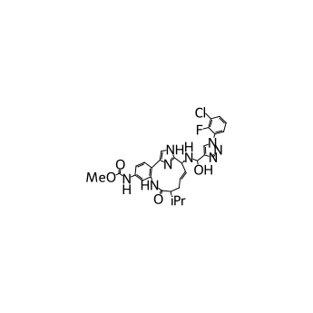 COC(=O)Nc1ccc2c(c1)NC(=O)C(C(C)C)C/C=C/[C@H](NC(O)c1cn(-c3cccc(Cl)c3F)nn1)c1nc-2c[nH]1